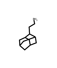 BCCC1C2CC3CC(C2)CC1C3